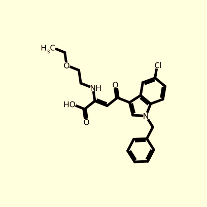 CCOCCN/C(=C\C(=O)c1cn(Cc2ccccc2)c2ccc(Cl)cc12)C(=O)O